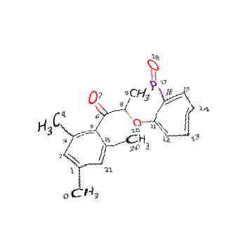 Cc1cc(C)c(C(=O)C(C)Oc2ccccc2P=O)c(C)c1